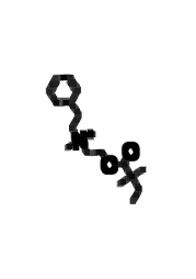 CCC(C)(C)C(=O)OCC[N+](C)(C)CCc1ccccc1